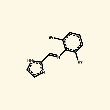 CC(C)c1cccc(C(C)C)c1N=Cc1ncc[nH]1